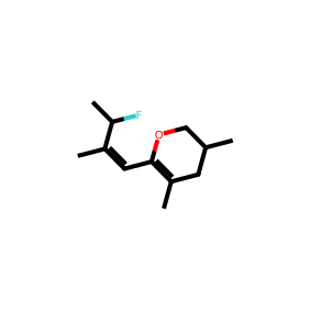 CC1=C(/C=C(/C)C(C)F)OCC(C)C1